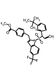 C=CC(c1cccc(C(C)(C)C)c1)S(=O)(=O)n1c(Cc2ccc(C(=O)OC)cc2)cc2cc(C(F)(F)F)ccc21